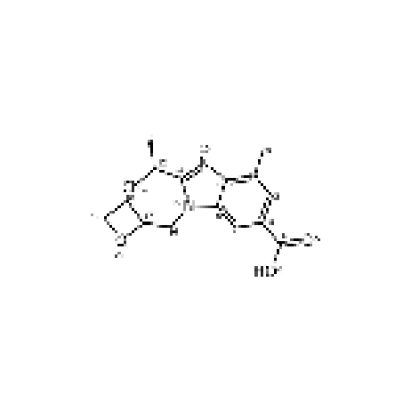 Cc1cc(C(=O)O)cc2c1nc([C@H](C)Cl)n2CC1CCO1